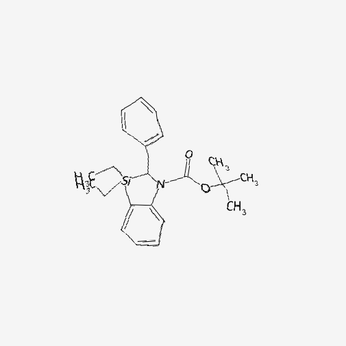 CC[Si]1(CC)c2ccccc2N(C(=O)OC(C)(C)C)C1c1ccccc1